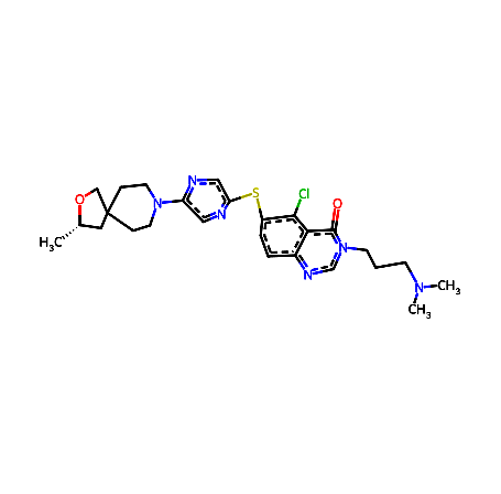 C[C@H]1CC2(CCN(c3cnc(Sc4ccc5ncn(CCCN(C)C)c(=O)c5c4Cl)cn3)CC2)CO1